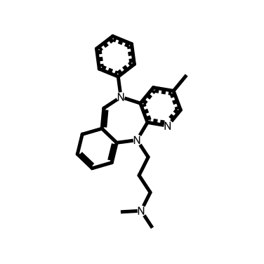 Cc1cnc2c(c1)N(c1ccccc1)C=C1CC=CC=C1N2CCCN(C)C